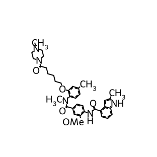 COc1cc(C(=O)N(C)c2ccc(C)cc2OCCCCCC(=O)N2CCN(C)CC2)ccc1NC(=O)c1cccc2[nH]c(C)cc12